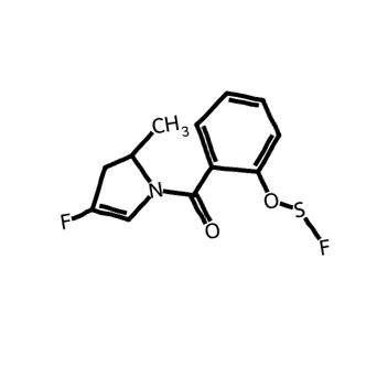 CC1CC(F)=CN1C(=O)c1ccccc1OSF